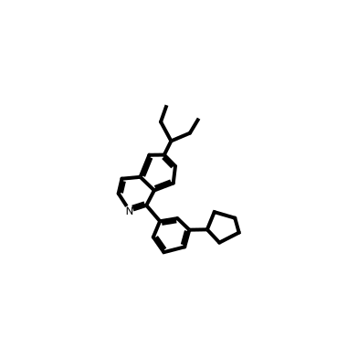 CCC(CC)c1ccc2c(-c3cccc(C4CCCC4)c3)nccc2c1